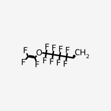 C=CC(F)(F)C(F)(F)C(F)(F)C(F)(F)OC(F)=C(F)F